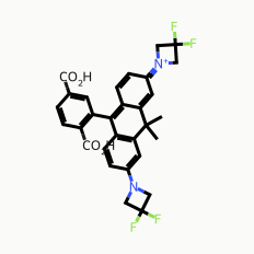 CC1(C)C2=CC(=[N+]3CC(F)(F)C3)C=CC2=C(c2cc(C(=O)O)ccc2C(=O)O)c2ccc(N3CC(F)(F)C3)cc21